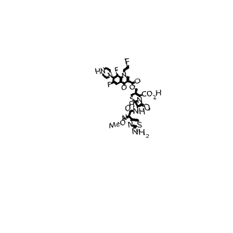 CO/N=C(/C(=O)N[C@@H]1C(=O)N2C(C(=O)O)=C(COC(=O)c3cn(CCF)c4c(F)c(N5CCNCC5)c(F)cc4c3=O)CS[C@H]12)c1csc(N)n1